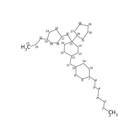 CCCCCCCC1CCC(CC2CCC(CC3CCC(CCC)CC3)(C3CCCCC3)CC2)CC1